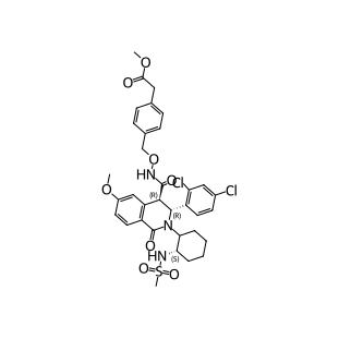 COC(=O)Cc1ccc(CONC(=O)[C@@H]2c3cc(OC)ccc3C(=O)N(C3CCCC[C@@H]3NS(C)(=O)=O)[C@H]2c2ccc(Cl)cc2Cl)cc1